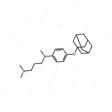 CN(C)CCCN(C)c1ccc(OC23CC4CC(CC(C4)C2)C3)cc1